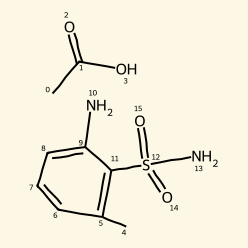 CC(=O)O.Cc1cccc(N)c1S(N)(=O)=O